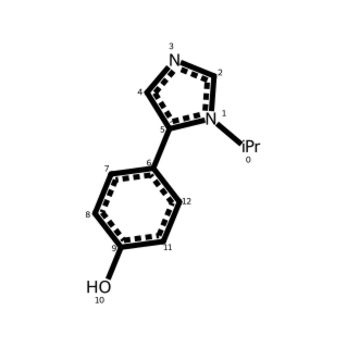 CC(C)n1cncc1-c1ccc(O)cc1